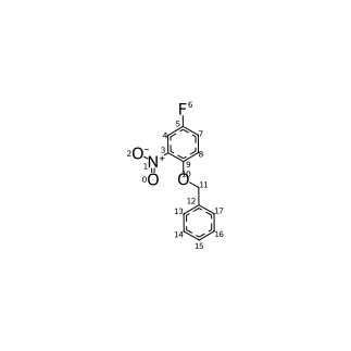 O=[N+]([O-])c1cc(F)ccc1OCc1ccccc1